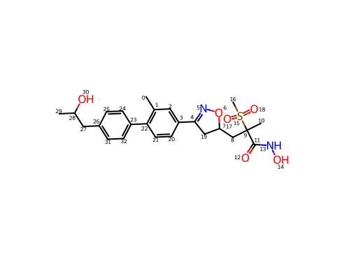 Cc1cc(C2=NOC(CC(C)(C(=O)NO)S(C)(=O)=O)C2)ccc1-c1ccc(CC(C)O)cc1